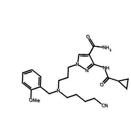 COc1ccccc1CN(CCCCC#N)CCCn1cc(C(N)=O)c(NC(=O)C2CC2)n1